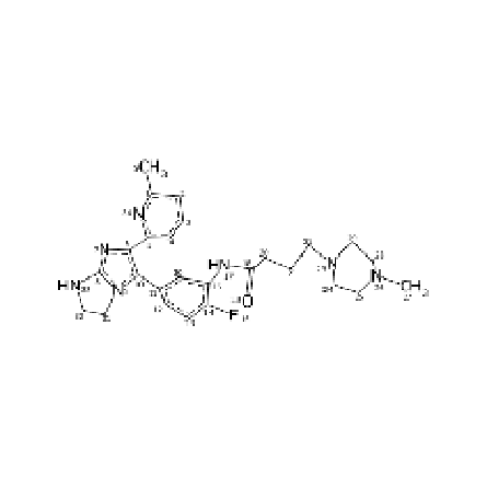 Cc1cccc(-c2nc3n(c2-c2ccc(F)c(NC(=O)CCCN4CCN(C)CC4)c2)CCN3)n1